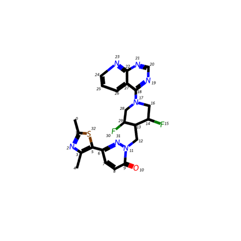 Cc1nc(C)c(-c2ccc(=O)n(CC3C(F)CN(c4ncnc5ncccc45)CC3F)n2)s1